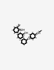 CC.Oc1ccccc1.Oc1ccccc1.Oc1ccccc1.Oc1ccccc1Br